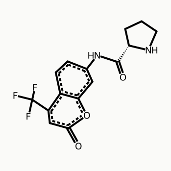 O=C(Nc1ccc2c(C(F)(F)F)cc(=O)oc2c1)[C@@H]1CCCN1